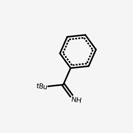 CC(C)(C)C(=N)c1ccccc1